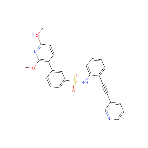 COc1ccc(-c2cccc(S(=O)(=O)Nc3ccccc3C#Cc3cccnc3)c2)c(OC)n1